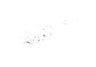 COCC(=O)NCCCCC(N)C(=O)O[C@H]1[C@H](OC(C)=O)C[C@@]23COC[C@]1(C)[C@@H]2CC[C@H]1C3=CC[C@@]2(C)[C@H](C(=O)O)[C@@](C)([C@H](C)C(C)C)CC[C@]12C